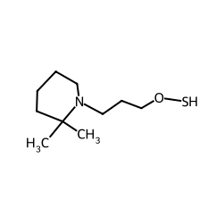 CC1(C)CCCCN1CCCOS